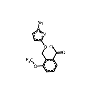 O=C(Cl)c1cccc(OC(F)(F)F)c1COc1ccn(S)n1